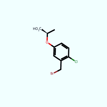 C[C@@H](Oc1ccc(Cl)c(CBr)c1)C(=O)O